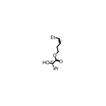 CC/C=C\CCOC(=O)[C@H](O)C(C)C